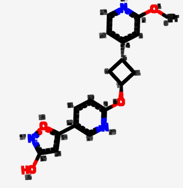 CC(C)Oc1cc([C@H]2C[C@H](Oc3ccc(-c4cc(O)no4)cn3)C2)ccn1